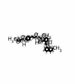 Cc1ccc2cccc(OCc3c(Cl)ccc(N(C)C(=O)CNC(=O)/C=C/c4ccc(NC(=O)c5coc(C)n5)cc4)c3Cl)c2n1